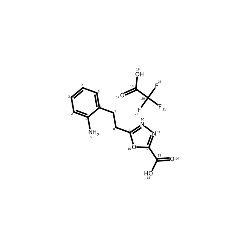 Nc1ccccc1CCc1nnc(C(=O)O)o1.O=C(O)C(F)(F)F